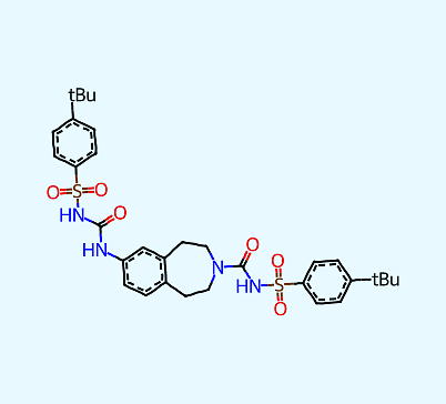 CC(C)(C)c1ccc(S(=O)(=O)NC(=O)Nc2ccc3c(c2)CCN(C(=O)NS(=O)(=O)c2ccc(C(C)(C)C)cc2)CC3)cc1